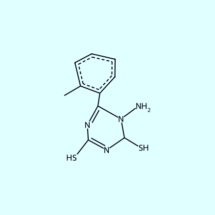 Cc1ccccc1C1=NC(S)=NC(S)N1N